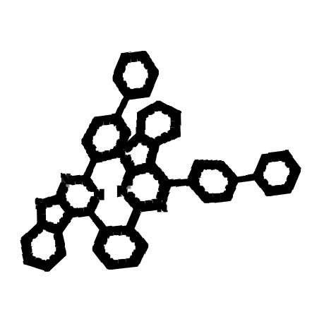 c1ccc(-c2ccc(-c3nc(-c4ccccc4-c4nc(-c5ccc(-c6ccccc6)cc5)c5c(n4)sc4ccccc45)c4c(n3)sc3ccccc34)cc2)cc1